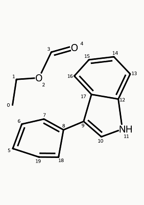 CCOC=O.c1ccc(-c2c[nH]c3ccccc23)cc1